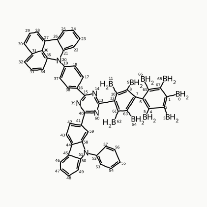 Bc1c(B)c(B)c(-c2c(B)c(B)c(-c3nc(-c4ccc(N5c6ccccc6-c6cccc7cccc5c67)cc4)nc(-c4ccc5c6ccccc6n(-c6ccccc6)c5c4)n3)c(B)c2B)c(B)c1B